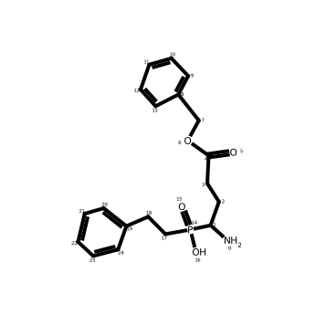 NC(CCC(=O)OCc1ccccc1)P(=O)(O)CCc1ccccc1